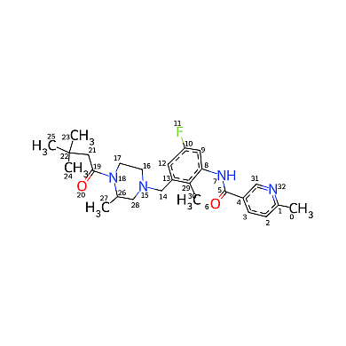 Cc1ccc(C(=O)Nc2cc(F)cc(CN3CCN(C(=O)CC(C)(C)C)C(C)C3)c2C)cn1